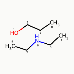 CCCO.CCNCC